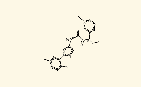 C=C(Nc1cnn(-c2nc(C)ncc2C)c1)N[C@@H](CC)c1cccc(C)c1